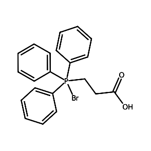 O=C(O)CCP(Br)(c1ccccc1)(c1ccccc1)c1ccccc1